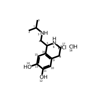 CC(C)NCC1NCCc2cc(O)c(O)cc21.Cl.Cl